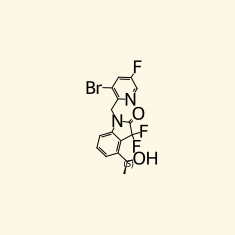 C[C@H](O)c1cccc2c1C(F)(F)C(=O)N2Cc1ncc(F)cc1Br